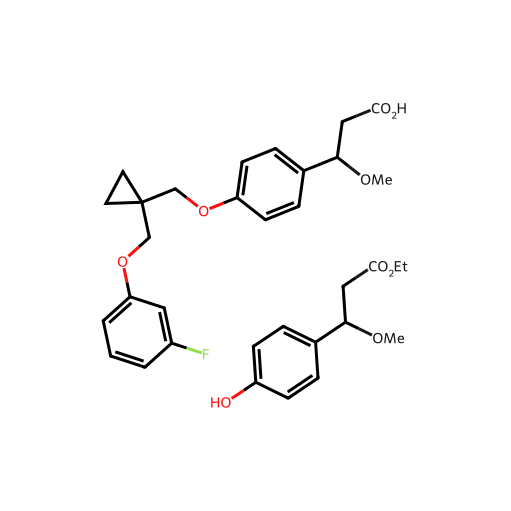 CCOC(=O)CC(OC)c1ccc(O)cc1.COC(CC(=O)O)c1ccc(OCC2(COc3cccc(F)c3)CC2)cc1